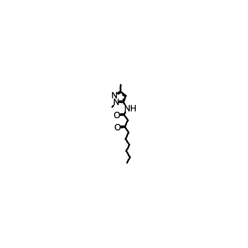 CCCCCCC(=O)CC(=O)Nc1cc(C)nn1C